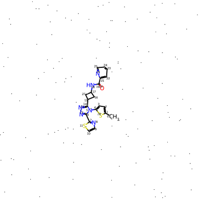 Cc1ccc(-n2c(-c3nccs3)nnc2C2CC(NC(=O)c3ccccn3)C2)s1